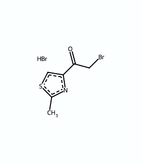 Br.Cc1nc(C(=O)CBr)cs1